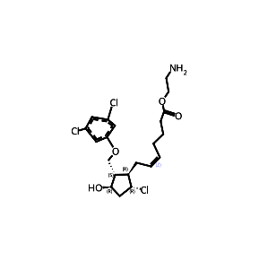 NCCOC(=O)CCC/C=C\C[C@@H]1[C@@H](COc2cc(Cl)cc(Cl)c2)[C@H](O)C[C@H]1Cl